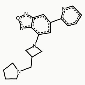 c1ccc(-c2cc(N3CC(CN4CCCC4)C3)c3nonc3c2)nc1